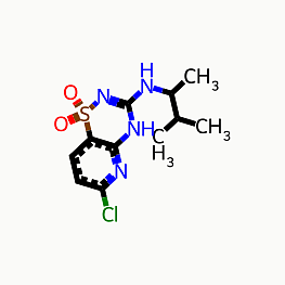 CC(C)C(C)NC1=NS(=O)(=O)c2ccc(Cl)nc2N1